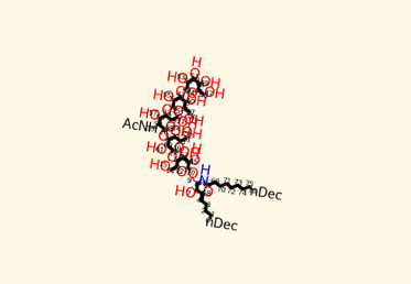 CCCCCCCCCCCCC/C=C/[C@@H](O)[C@H](CO[C@@H]1OC(CO)[C@@H](O[C@@H]2OC(CO)[C@H](O)[C@H](O[C@@H]3OC(CO)[C@@H](O[C@@H]4OC(CO)[C@H](O)[C@H](O[C@@H]5OC(CO)[C@H](O)[C@H](O)C5O)C4O)[C@H](O)C3NC(C)=O)C2O)[C@H](O)C1O)NC(=O)CCCCCCCCCCCCCCCCC